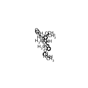 CNc1nccc(Oc2cccc3cc(C(=O)Nc4cc(C(C)(C)C)cc(NCCN5CCOCC5)c4OC)n(C)c23)n1